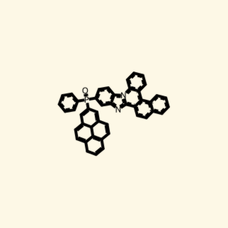 O=P(C1=CC2=CC=C3CC=CC4=C3C2C(=C1)C=C4)(c1ccccc1)c1ccc2c(c1)nc1c3ccc4ccccc4c3c3ccccc3n21